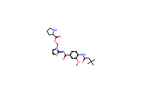 COc1cc(C(=O)/N=c2\sccn2COC(=O)C2CCCN2)ccc1NC(=O)CC(C)(C)C